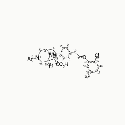 CC(=O)N1CC2CC(c3ccc(CCOc4cc(F)ccc4Cl)cc3)=C(C(=O)O)[C@@H](C1)N2